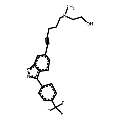 CN(CCO)CCCC#Cc1ccc2c(-c3ccc(C(F)(F)F)cc3)nsc2c1